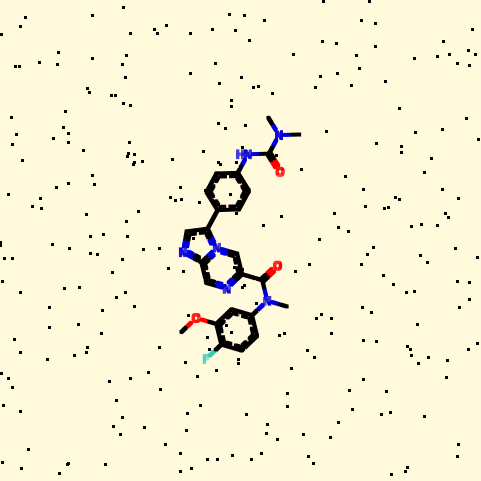 COc1cc(N(C)C(=O)c2cn3c(-c4ccc(NC(=O)N(C)C)cc4)cnc3cn2)ccc1F